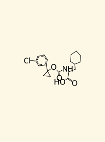 O=C(NC(CC1CCCCC1)C(=O)O)OC1(c2cccc(Cl)c2)CC1